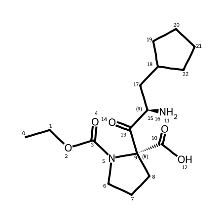 CCOC(=O)N1CCC[C@]1(C(=O)O)C(=O)[C@H](N)CC1CCCC1